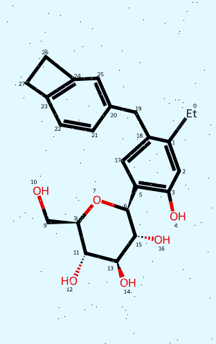 CCc1cc(O)c([C@@H]2O[C@H](CO)[C@@H](O)[C@H](O)[C@H]2O)cc1Cc1ccc2c(c1)CC2